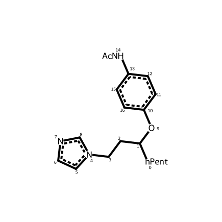 CCCCCC(CCn1ccnc1)Oc1ccc(NC(C)=O)cc1